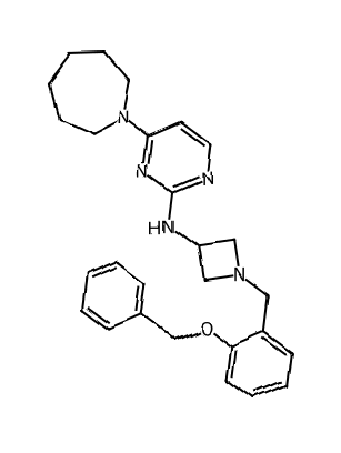 c1ccc(COc2ccccc2CN2CC(Nc3nccc(N4CCCCCC4)n3)C2)cc1